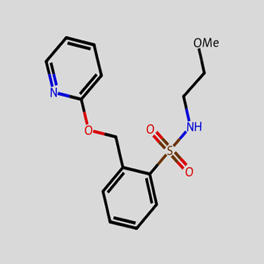 COCCNS(=O)(=O)c1ccccc1COc1ccccn1